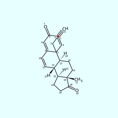 C#CCC12C=CC(=O)C=C1C=C[C@@H]1[C@@H]2CC[C@]2(C)C(=O)CC[C@@H]12